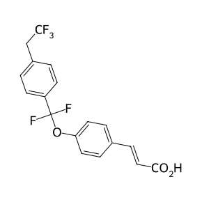 O=C(O)/C=C/c1ccc(OC(F)(F)c2ccc(CC(F)(F)F)cc2)cc1